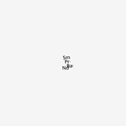 [Ba].[Nd].[Pr].[Sm]